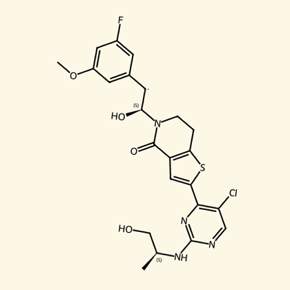 COc1cc(F)cc([CH][C@H](O)N2CCc3sc(-c4nc(N[C@@H](C)CO)ncc4Cl)cc3C2=O)c1